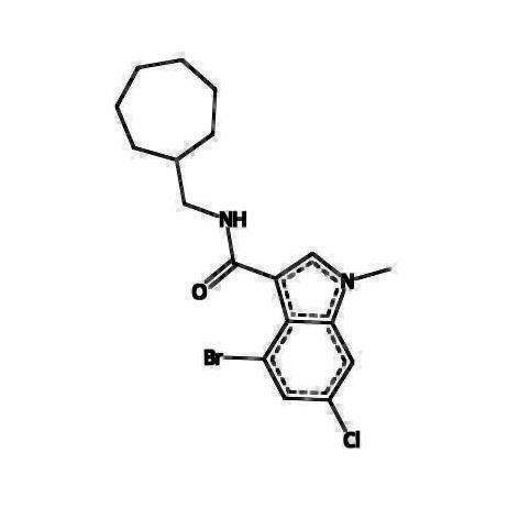 Cn1cc(C(=O)NCC2CCCCCC2)c2c(Br)cc(Cl)cc21